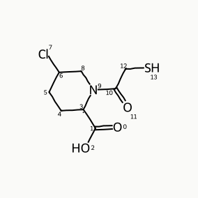 O=C(O)[C]1CCC(Cl)CN1C(=O)CS